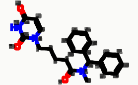 CN(C(=O)CCCCn1ccc(=O)[nH]c1=O)C(c1ccccc1)c1ccccc1